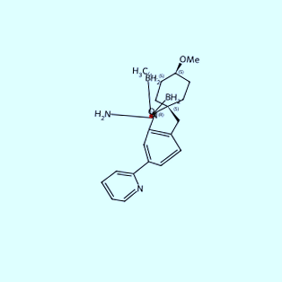 BC1(B)OC(N)=N[C@]12c1cc(-c3ccccn3)ccc1C[C@@]21CC[C@H](OC)[C@@H](C)C1